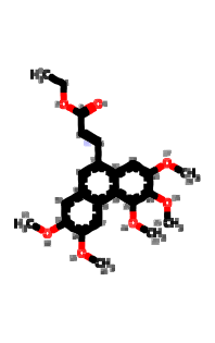 CCOC(=O)/C=C/c1cc2cc(OC)c(OC)cc2c2c(OC)c(OC)c(OC)cc12